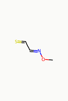 CON=CC=S